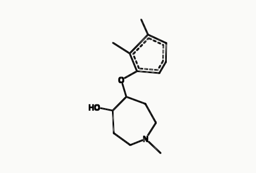 Cc1cccc(OC2CCN(C)CCC2O)c1C